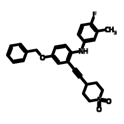 Cc1cc(Nc2ccc(OCc3ccccc3)cc2C#CC2CCS(=O)(=O)CC2)ccc1F